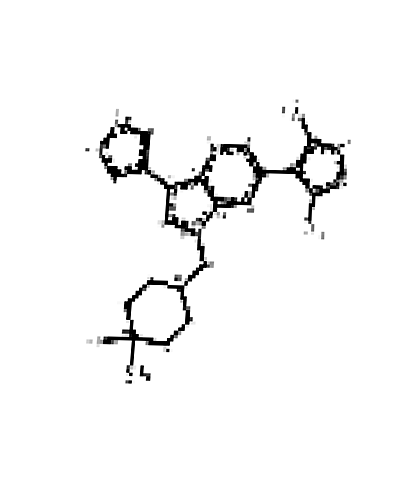 Cc1noc(C)c1-c1cnc2c(-c3cn[nH]c3)cn(CC3CCC(C)(F)CC3)c2c1